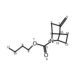 C=C1CC2N(C(=O)OCCCC)C3CCC132